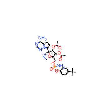 C/N=C\[C@@]1(c2ccc3c(N)ncnn23)O[C@H](COP(N)(=O)Oc2ccc(C(C)(C)C)cc2)[C@@H](OC(C)=O)[C@H]1OC(C)=O